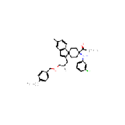 COC(=O)C1(Nc2cccc(Cl)c2)CCC2(CC1)C(C[C@@H](C)COCc1ccc(OC)cc1)=Cc1cc(C)ccc12